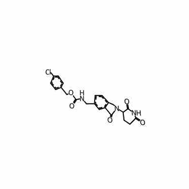 O=C1CCC(N2Cc3ccc(CNC(=O)OCc4ccc(Cl)cc4)cc3C2=O)C(=O)N1